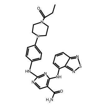 CCC(=O)N1CCN(c2ccc(Nc3ncc(C(N)=O)c(Nc4cccc5nsnc45)n3)cc2)CC1